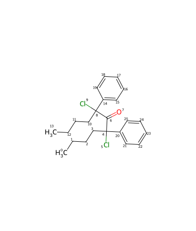 CCCCC(Cl)(C(=O)C(Cl)(CCCC)c1ccccc1)c1ccccc1